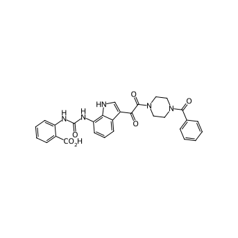 O=C(Nc1ccccc1C(=O)O)Nc1cccc2c(C(=O)C(=O)N3CCN(C(=O)c4ccccc4)CC3)c[nH]c12